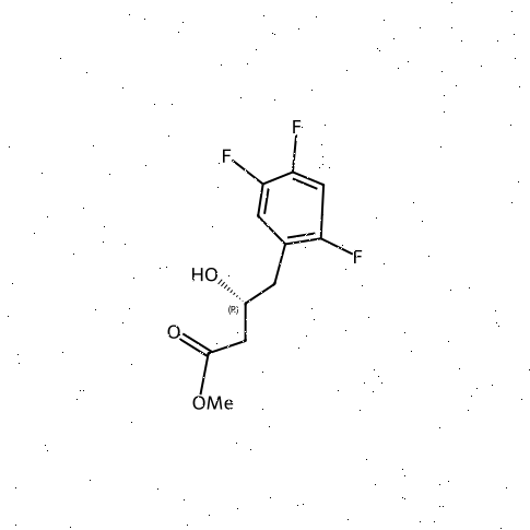 COC(=O)C[C@H](O)Cc1cc(F)c(F)cc1F